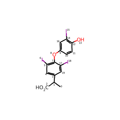 CC(C(=O)O)c1cc(I)c(Oc2ccc(O)c(I)c2)c(I)c1